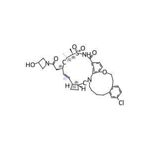 C[C@@H]1[C@@H](C)C[C@H](CC(=O)N2CC(O)C2)/C=C/[C@@H]2CC[C@H]2CN2CCCCc3cc(Cl)ccc3CCOc3ccc(cc32)C(=O)NS1(=O)=O